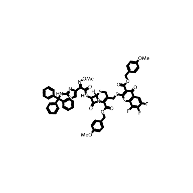 CO/N=C(\C(=O)NC1C(=O)N2C(C(=O)OCc3ccc(OC)cc3)=C(CSc3sc4c(F)c(F)c(F)cc4c(=O)c3C(=O)OCc3ccc(OC)cc3)CS[C@@H]12)c1csc(NC(c2ccccc2)(c2ccccc2)c2ccccc2)n1